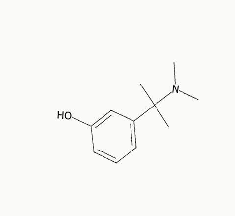 CN(C)C(C)(C)c1cccc(O)c1